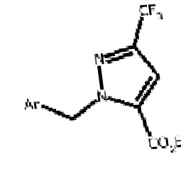 CCOC(=O)c1cc(C(F)(F)F)nn1CC(C)=O